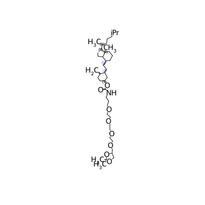 C=C1CC[C@H](OC(=O)NCCCOCCOCCOCCOCC2COC(C)(C)O2)C/C1=C/C=C1\CCC[C@@]2(C)C1CC[C@@H]2[C@H](C)CCCC(C)C